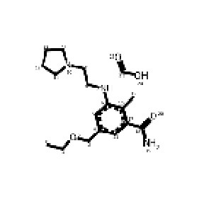 CCOCc1cc(NCCN2CCCC2)c(C)c(C(N)=O)c1.O=CO